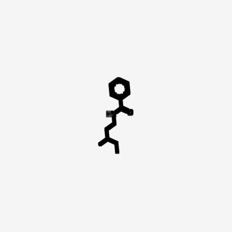 CCC(C)CCNC(=O)c1ccccc1